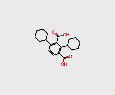 O=C(O)c1ccc(C2CCCCC2)c(C(=O)O)c1C1CCCCC1